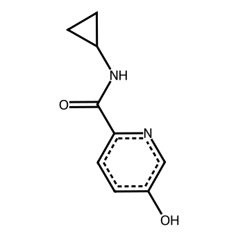 O=C(NC1CC1)c1ccc(O)cn1